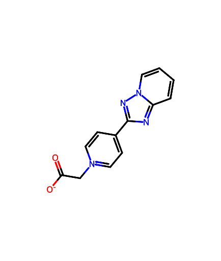 O=C([O-])C[n+]1ccc(-c2nc3ccccn3n2)cc1